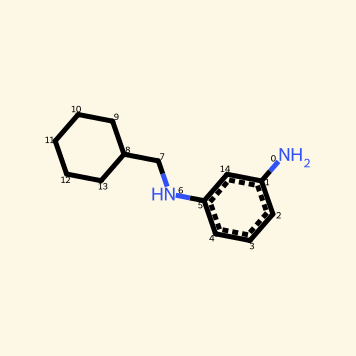 Nc1cccc(NCC2CCCCC2)c1